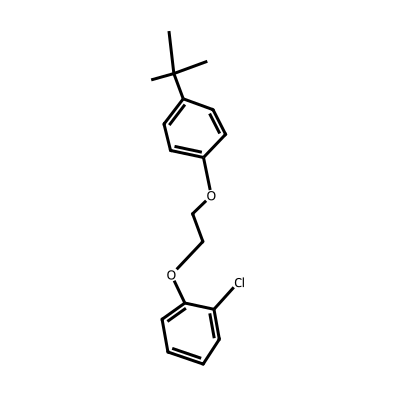 CC(C)(C)c1ccc(OCCOc2ccccc2Cl)cc1